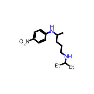 CCC(CC)NCCCC(C)Nc1ccc([N+](=O)[O-])cc1